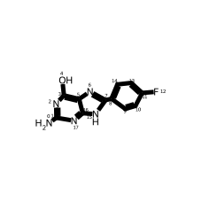 Nc1nc(O)c2nc(-c3ccc(F)cc3)[nH]c2n1